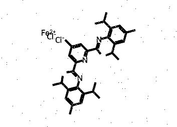 CC(=Nc1c(C(C)C)cc(C)cc1C(C)C)c1cc(C)cc(C(C)=Nc2c(C(C)C)cc(C)cc2C(C)C)n1.[Cl-].[Cl-].[Fe+2]